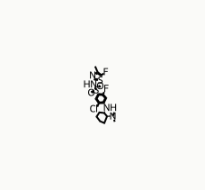 Cc1nc(NS(=O)(=O)c2cc(Cl)c(N[C@H]3CCCC[C@@H]3N(C)C)cc2F)sc1F